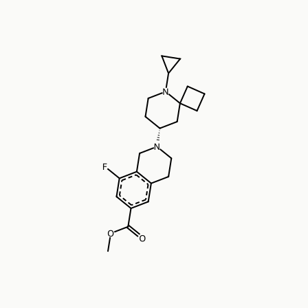 COC(=O)c1cc(F)c2c(c1)CCN([C@@H]1CCN(C3CC3)C3(CCC3)C1)C2